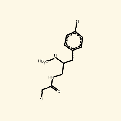 O=C(O)NC(CNC(=O)CCl)Cc1ccc(Cl)cc1